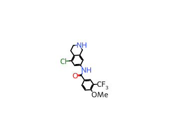 COc1ccc(C(=O)Nc2cc(Cl)c3c(c2)CNCC3)cc1C(F)(F)F